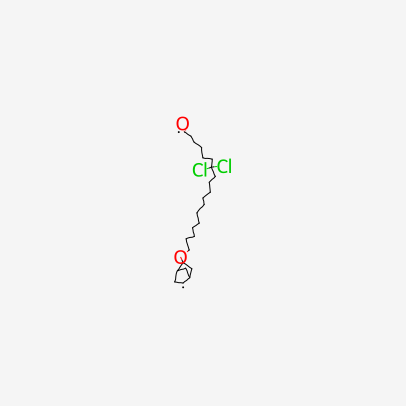 O=[C]CCCCCC(Cl)(Cl)CCCCCCCCCCCOC1CC2[CH]CC1C2